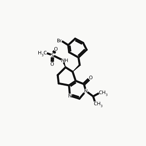 CC(C)n1cnc2c(c1=O)[C@H](Cc1cccc(Br)c1)[C@H](NS(C)(=O)=O)CC2